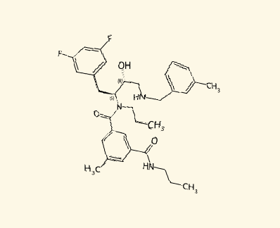 CCCNC(=O)c1cc(C)cc(C(=O)N(CCC)[C@@H](Cc2cc(F)cc(F)c2)[C@H](O)CNCc2cccc(C)c2)c1